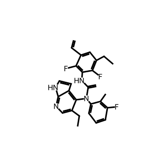 C=Cc1cc(CC)c(F)c(NC(=C)N(c2cccc(F)c2C)c2c(CC)cnc3[nH]ccc23)c1F